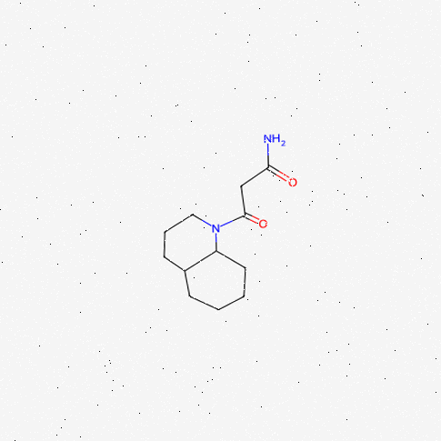 NC(=O)CC(=O)N1CCCC2CCCCC21